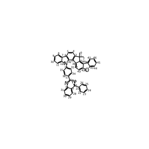 CC1(C)c2ccc3c4ccccc4n(-c4ccc(-c5nc(-c6ccccc6)c6ccccc6n5)cc4)c3c2-c2ccc3oc4ccccc4c3c21